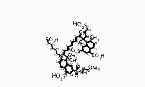 C=C(/C=C/C=C/C=C/C=C1/N(CCCCCC(=O)O)c2ccc3c(S(=O)(=O)O)cc(S(=O)(=O)NCCOC)cc3c2C1(C)C)C(C)(CCCS(=O)(=O)O)c1c(C)ccc2c(S(=O)(=O)O)cc(S(=O)(=O)O)cc12